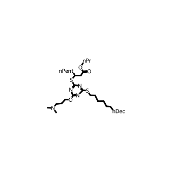 CCCCCCCCCCCCCCCCSc1nc(OCCCN(C)C)nc(SC(CCCCC)CC(=O)OCCC)n1